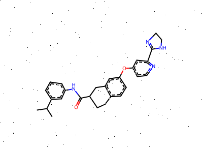 CC(C)c1cccc(NC(=O)C2CCc3ccc(Oc4ccnc(C5=NCCN5)c4)cc3C2)c1